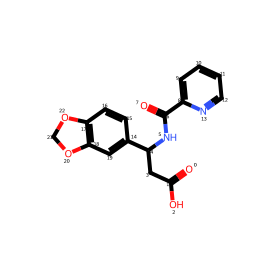 O=C(O)CC(NC(=O)c1ccccn1)c1ccc2c(c1)OCO2